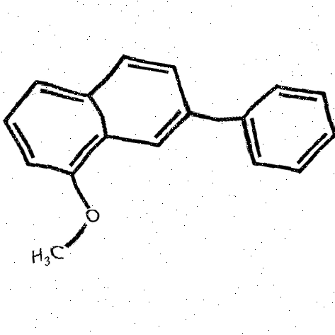 COc1cccc2ccc(-c3ccccc3)cc12